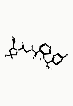 C[C@@H](Nc1cnccc1C(=O)NCC(=O)N1CC(F)(F)CC1C#N)c1ccc(F)cc1